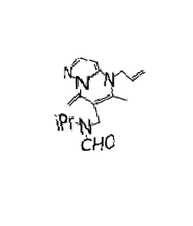 C=CCN1C(C)=C(CN(C=O)C(C)C)C(=C)n2nccc21